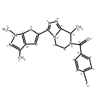 Cc1nn(C)c2sc(-c3nnc4n3CCN(C(=O)c3ccc(F)cc3)C4C)cc12